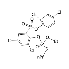 CCCSP(=O)(OCC)Oc1c(Cl)cc(Cl)cc1S(=O)(=O)Oc1ccc(Cl)cc1Cl